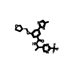 Cc1cnc(-c2cc(OC[C@@H]3CCOC3)cc(C(=O)NC(C)c3cnc(C(F)(F)F)nc3)c2)s1